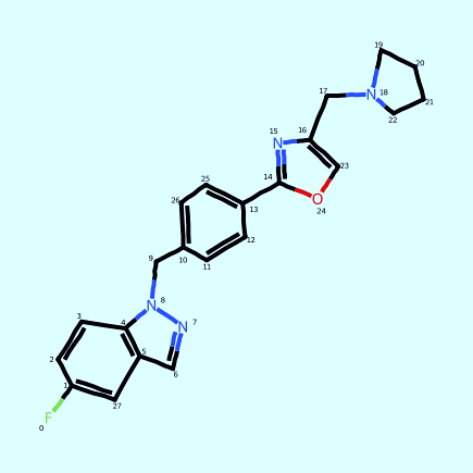 Fc1ccc2c(cnn2Cc2ccc(-c3nc(CN4CCCC4)co3)cc2)c1